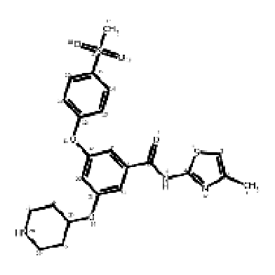 Cc1csc(NC(=O)c2cc(Oc3ccc(S(C)(=O)=O)cc3)cc(OC3CCNCC3)c2)n1